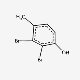 Cc1ccc(O)c(Br)c1Br